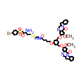 COc1cc2c(cc1OCc1cc(COc3cc4c(cc3OC)C(=O)N3c5ccccc5CC3C=N4)cc(OCCCCC(=O)NCCSSCCC(N)C(=O)CS(=O)(=O)c3ccc(Br)cc3)c1)N=CC1Cc3ccccc3N1C2=O